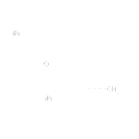 C/C=C(\C=C/CCC(C)C)C(=O)C(C)C